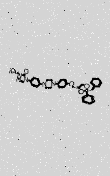 CCC(C)n1ncn(-c2ccc(N3CCN(c4ccc(OC[C@@H]5CO[C@@](Cc6ccccc6)(c6ccccc6)O5)cc4)CC3)cc2)c1=O